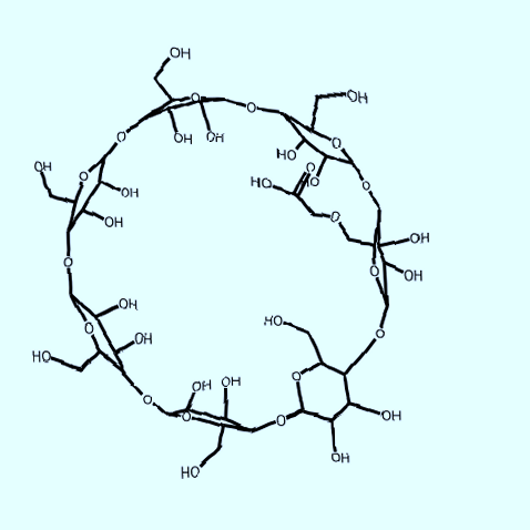 O=C(O)COCC1OC2OC3C(CO)OC(OC4C(CO)OC(OC5C(CO)OC(OC6C(CO)OC(OC7C(CO)OC(OC8C(CO)OC(OC1C(O)C2O)C(O)C8O)C(O)C7O)C(O)C6O)C(O)C5O)C(O)C4O)C(O)C3O